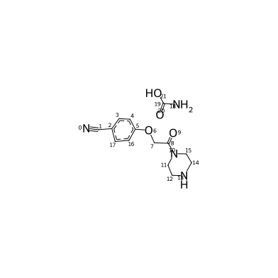 N#Cc1ccc(OCC(=O)N2CCNCC2)cc1.NC(=O)O